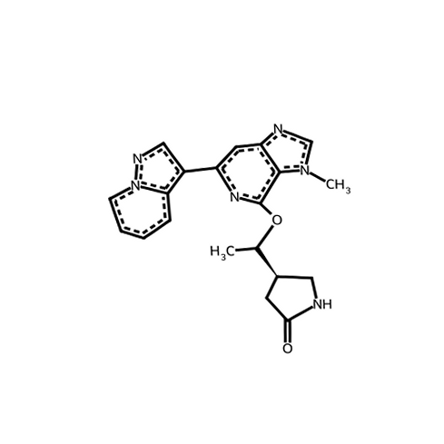 CC(Oc1nc(-c2cnn3ccccc23)cc2ncn(C)c12)[C@H]1CNC(=O)C1